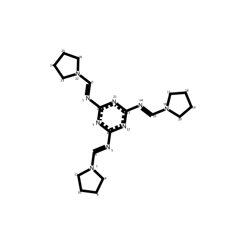 C(=Nc1nc(N=CN2CCCC2)nc(N=CN2CCCC2)n1)N1CCCC1